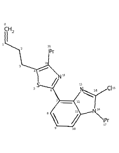 C=CCCc1sc(-c2cccc3c2nc(Cl)n3C(C)C)nc1C(C)C